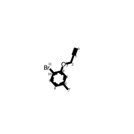 C#CCOc1cc([CH2])ccc1Br